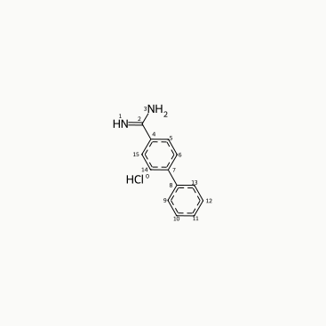 Cl.N=C(N)c1ccc(-c2ccccc2)cc1